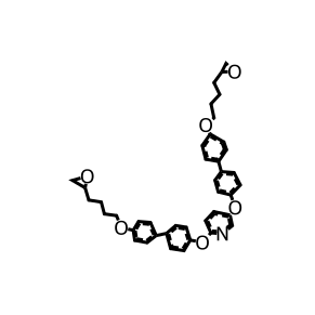 c1cc(-c2ccc(Oc3ccc(Oc4ccc(-c5ccc(OCCCCC6CO6)cc5)cc4)nc3)cc2)ccc1OCCCCC1CO1